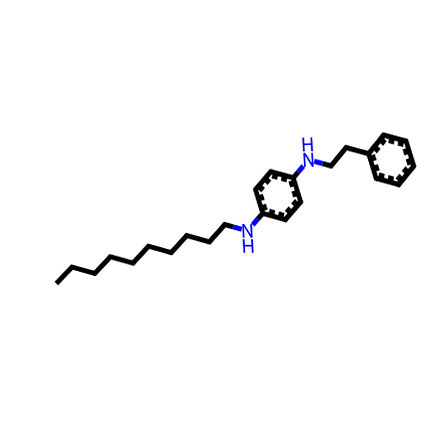 CCCCCCCCCCNc1ccc(NCCc2ccccc2)cc1